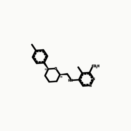 Cc1ccc([C@@H]2CCC[C@H](CNc3cnnc(C(=O)O)c3C)O2)cc1